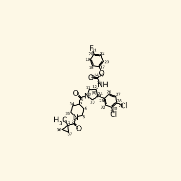 CC1(C(=O)N2CCC(C(=O)N3C[C@H](NC(=O)Oc4ccc(F)cc4)[C@@H](c4ccc(Cl)c(Cl)c4)C3)CC2)CC1